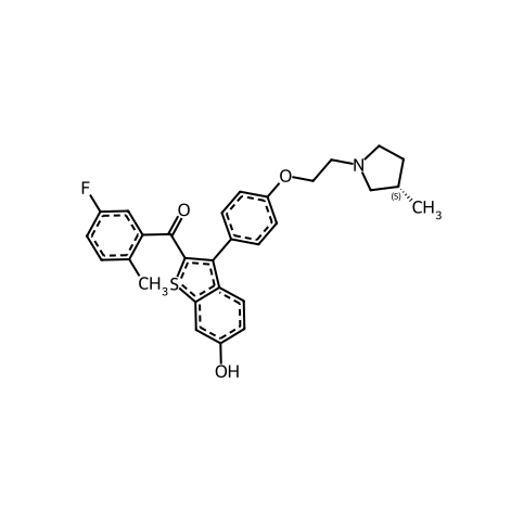 Cc1ccc(F)cc1C(=O)c1sc2cc(O)ccc2c1-c1ccc(OCCN2CC[C@H](C)C2)cc1